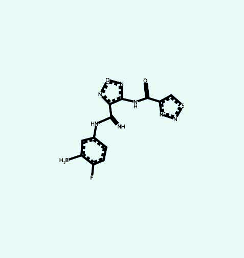 Bc1cc(NC(=N)c2nonc2NC(=O)c2csnn2)ccc1F